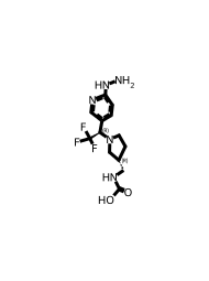 NNc1ccc([C@@H](N2CC[C@H](CNC(=O)O)C2)C(F)(F)F)cn1